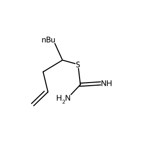 C=CCC(CCCC)SC(=N)N